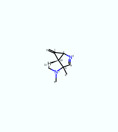 C=C1C2N=CC(C)(N(C)C)[C@H]12